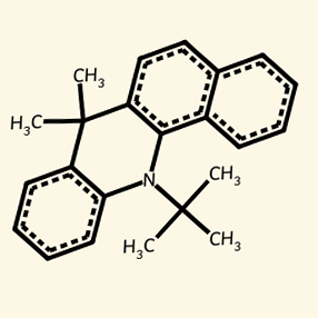 CC1(C)c2ccccc2N(C(C)(C)C)c2c1ccc1ccccc21